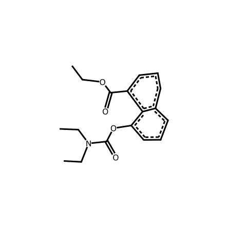 CCOC(=O)c1cccc2cccc(OC(=O)N(CC)CC)c12